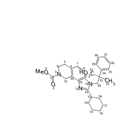 COC(=O)N1CCc2ccc3c(nc(C4CCCCC4)n3CC(C)(C(=O)O)c3ccccc3)c2C1